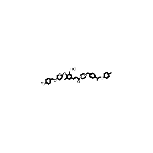 COc1ccc(COc2ccc(Oc3c(C)cc(/C=C/C(=O)N4CCN(Cc5ccc(C(C)COc6ccc(C)cc6)cc5)CC4)cc3C)nc2)cc1.Cl